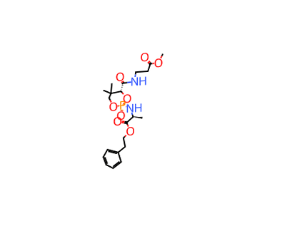 COC(=O)CCNC(=O)[C@@H]1OP(=O)(N[C@@H](C)C(=O)OCCc2ccccc2)OCC1(C)C